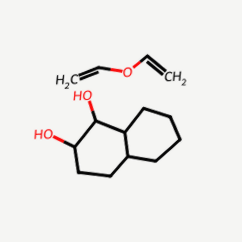 C=COC=C.OC1CCC2CCCCC2C1O